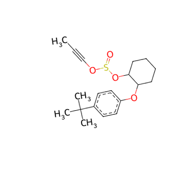 CC#COS(=O)OC1CCCCC1Oc1ccc(C(C)(C)C)cc1